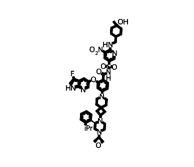 CC(C)c1ccccc1[C@@H]1CN(C2COC2)CCN1C1CC2(CCN(c3ccc(C(=O)NS(=O)(=O)c4cnc(NCC5CCC(C)(O)CC5)c([N+](=O)[O-])c4)c(Oc4cnc5[nH]cc(F)c5c4)c3)CC2)C1